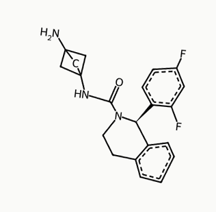 NC12CC(NC(=O)N3CCc4ccccc4[C@@H]3c3ccc(F)cc3F)(C1)C2